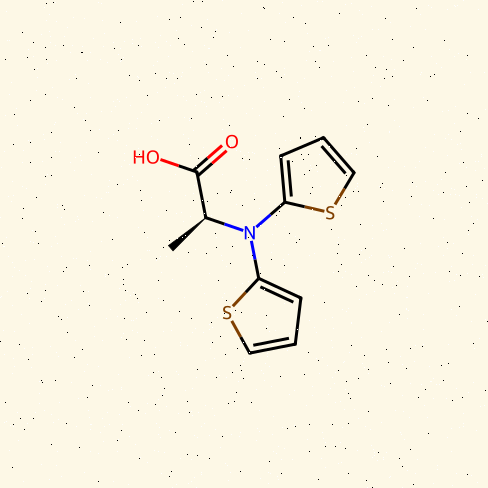 C[C@@H](C(=O)O)N(c1cccs1)c1cccs1